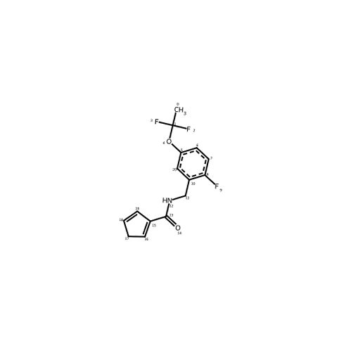 CC(F)(F)Oc1ccc(F)c(CNC(=O)C2=CCC=C2)c1